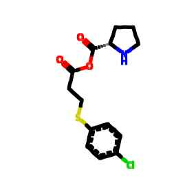 O=C(CCSc1ccc(Cl)cc1)OC(=O)[C@@H]1CCCN1